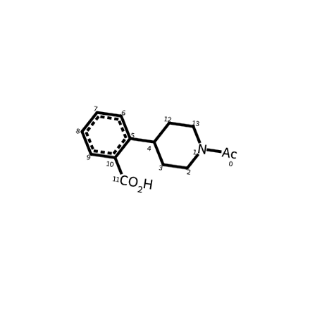 CC(=O)N1CCC(c2ccccc2C(=O)O)CC1